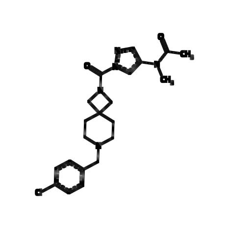 CC(=O)N(C)c1cnn(C(=O)N2CC3(CCN(Cc4ccc(Cl)cc4)CC3)C2)c1